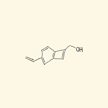 C=Cc1ccc2c(c1)C=C2CO